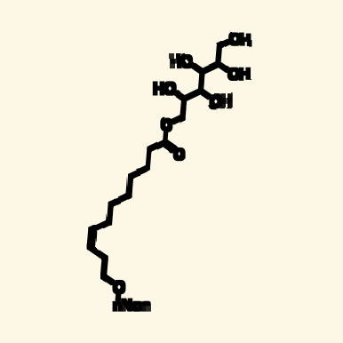 CCCCCCCCCOCC/C=C\CCCCCCC(=O)OCC(O)C(O)C(O)C(O)CO